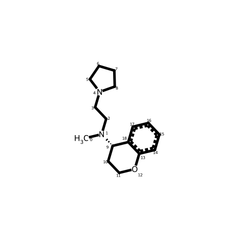 CN(CCN1CCCC1)[C@H]1CCOc2ccccc21